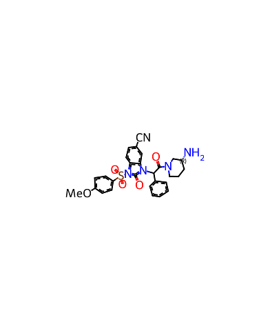 COc1ccc(S(=O)(=O)n2c(=O)n(C(C(=O)N3CCC[C@@H](N)C3)c3ccccc3)c3cc(C#N)ccc32)cc1